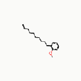 C=CCCCCCCCCc1ccccc1OC